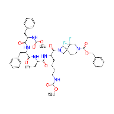 CC(C)C[C@@H](NC(=O)[C@@H](Cc1ccccc1)NC(=O)[C@@H](Cc1ccccc1)NC(=O)OC(C)(C)C)C(=O)N[C@H](CCCCNC(=O)OC(C)(C)C)C(=O)N1CC2(CCN(C(=O)OCc3ccccc3)CC2(F)F)C1